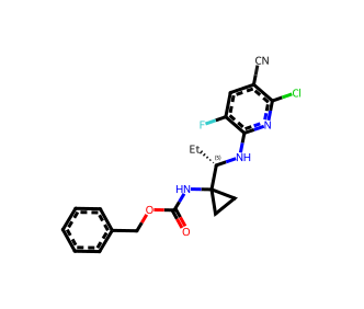 CC[C@H](Nc1nc(Cl)c(C#N)cc1F)C1(NC(=O)OCc2ccccc2)CC1